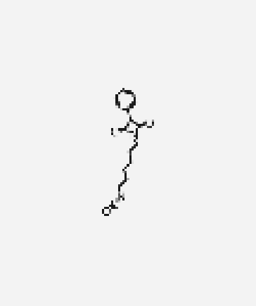 O=C=NCCCCCCN1C(=O)C(c2ccccc2)C1=O